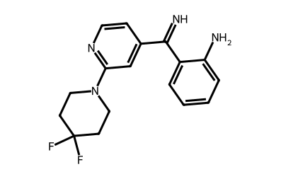 N=C(c1ccnc(N2CCC(F)(F)CC2)c1)c1ccccc1N